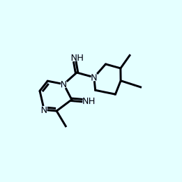 Cc1nccn(C(=N)N2CCC(C)C(C)C2)c1=N